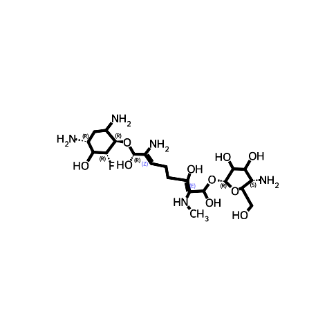 CN/C(=C(/O)CC/C=C(\N)[C@H](O)O[C@@H]1C(N)C[C@@H](N)C(O)[C@H]1F)C(O)O[C@H]1OC(CO)[C@@H](N)C(O)C1O